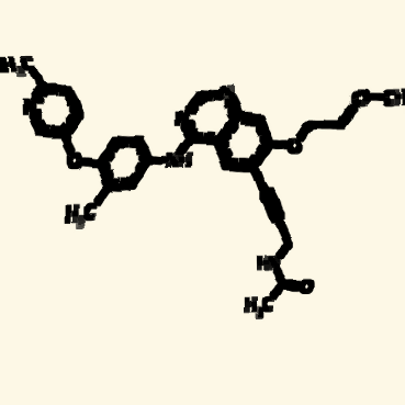 COCCOc1cc2ncnc(Nc3ccc(Oc4ccc(C)nc4)c(C)c3)c2cc1C#CCNC(C)=O